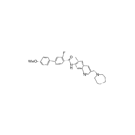 COc1ccc(-c2ccc(C(=O)Nc3cc4ncc(CN5CCCCCC5)cc4cc3C)c(F)c2)cc1